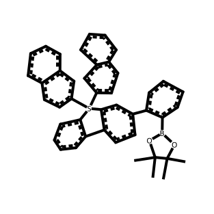 CC1(C)OB(c2ccccc2-c2ccc3c(c2)S(c2ccc4ccccc4c2)(c2ccc4ccccc4c2)c2ccccc2-3)OC1(C)C